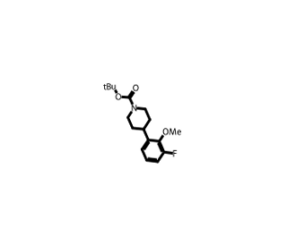 COc1c(F)cccc1C1CCN(C(=O)OC(C)(C)C)CC1